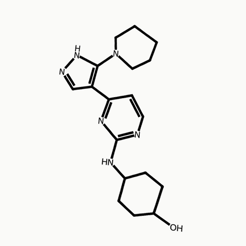 OC1CCC(Nc2nccc(-c3cn[nH]c3N3CCCCC3)n2)CC1